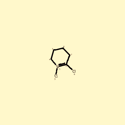 ClC1=[Si](Cl)CCCC1